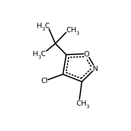 Cc1noc(C(C)(C)C)c1Cl